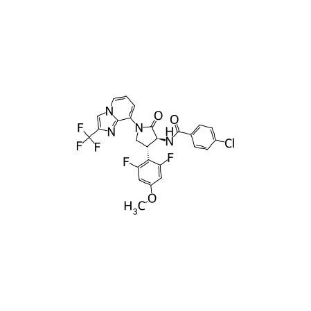 COc1cc(F)c([C@@H]2CN(c3cccn4cc(C(F)(F)F)nc34)C(=O)[C@H]2NC(=O)c2ccc(Cl)cc2)c(F)c1